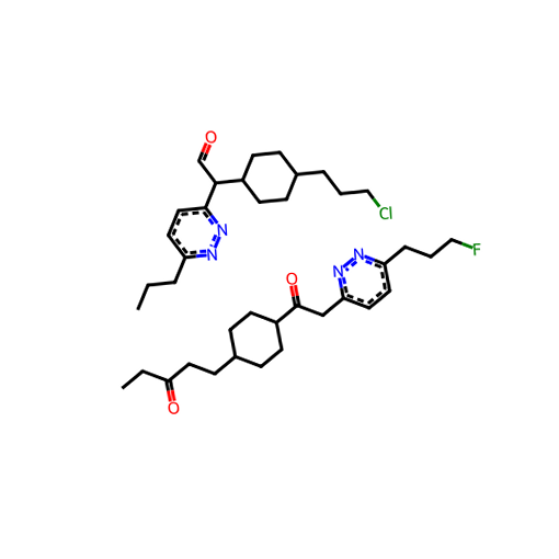 CCC(=O)CCC1CCC(C(=O)Cc2ccc(CCCF)nn2)CC1.CCCc1ccc(C(C=O)C2CCC(CCCCl)CC2)nn1